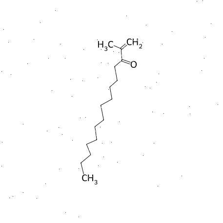 C=C(C)C(=O)CCCCCCCCCCCC